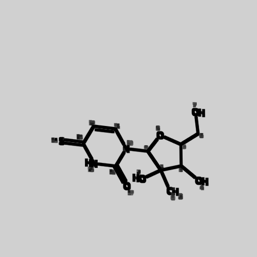 CC1(O)C(O)C(CO)OC1n1ccc(=S)[nH]c1=O